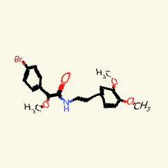 COc1ccc(CCNC(=O)C(OC)c2ccc(Br)cc2)cc1OC